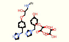 CC(C)NCC(O)COc1ccc(Cn2ccnc2)cc1.O=C(O)C(=O)O.O=C(O)C(=O)O.Oc1ccc(Cn2ccnc2)cc1